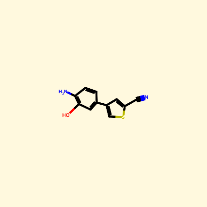 N#Cc1cc(-c2ccc(N)c(O)c2)cs1